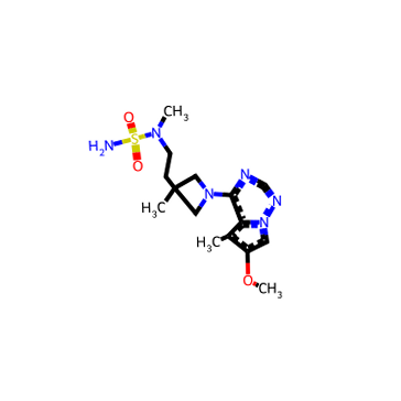 COc1cn2ncnc(N3CC(C)(CCN(C)S(N)(=O)=O)C3)c2c1C